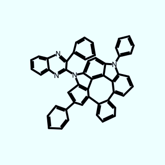 c1ccc(-c2cc3c4ccccc4c4cccc5c4c4c6c3c(c2)n(-c2nc3ccccc3nc2-c2ccccc2)c6ccc4n5-c2ccccc2)cc1